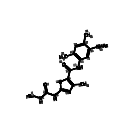 CCCCNC(=O)Nc1nc(C)c(C(=O)Nc2cc(NC(C)=O)c(C)cc2C)s1